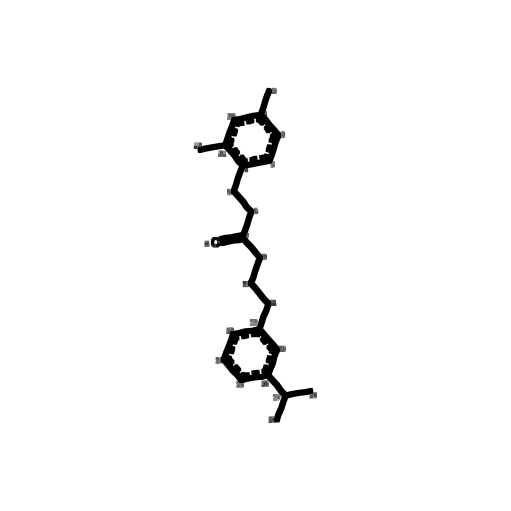 Cc1ccc(CCC(=O)CCCc2cccc(C(C)C)c2)c(C)c1